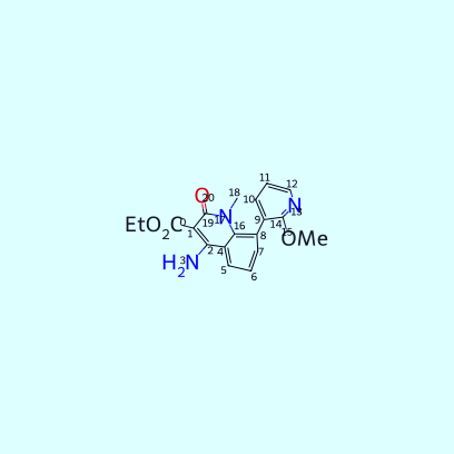 CCOC(=O)c1c(N)c2cccc(-c3cccnc3OC)c2n(C)c1=O